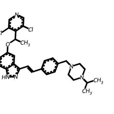 CC(Oc1ccc2[nH]nc(/C=C/c3ccc(CN4CCN(C(C)C)CC4)cc3)c2c1)c1c(Cl)cncc1Cl